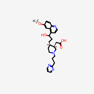 COc1ccc2nccc(C(O)CC[C@@H]3CCN(CCCc4ncccn4)C[C@@H]3CC(=O)O)c2c1